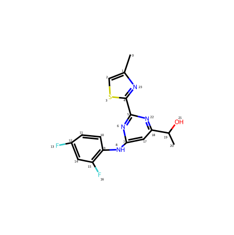 Cc1csc(-c2nc(Nc3ccc(F)cc3F)cc(C(C)O)n2)n1